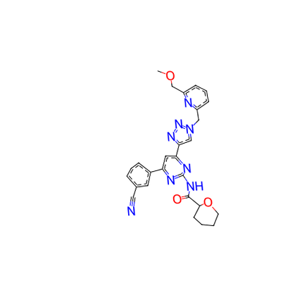 COCc1cccc(Cn2cc(-c3cc(-c4cccc(C#N)c4)nc(NC(=O)C4CCCCO4)n3)nn2)n1